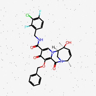 C[C@H]1C=C[C@](C)(O)[C@H]2CN1C(=O)c1c(OCc3ccccc3)c(=O)c(C(=O)NCc3ccc(F)c(Cl)c3F)cn12